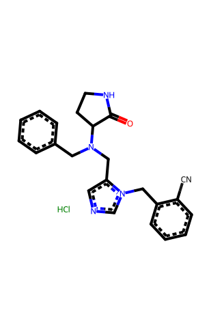 Cl.N#Cc1ccccc1Cn1cncc1CN(Cc1ccccc1)C1CCNC1=O